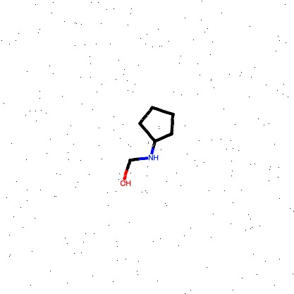 OCNC1CCCC1